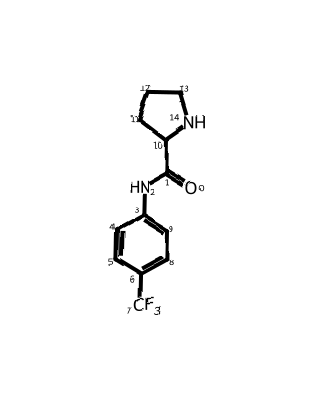 O=C(Nc1ccc(C(F)(F)F)cc1)C1CCCN1